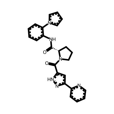 O=C(Nc1ccccc1-n1cccc1)[C@@H]1CCCN1C(=O)c1cc(-c2ccccn2)n[nH]1